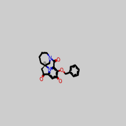 O=C1C[C@@]23CCCCN(C2)C(=O)c2c(OCc4ccccc4)c(=O)cc1n23